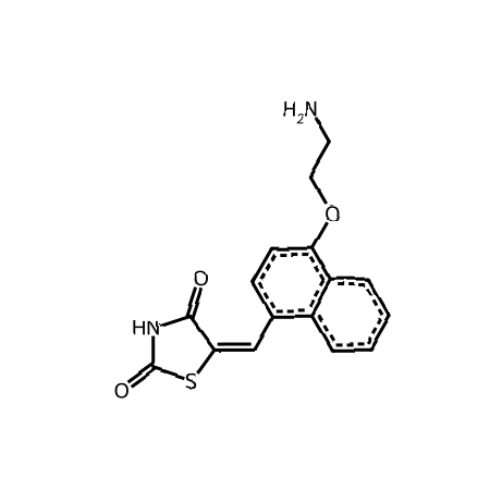 NCCOc1ccc(C=C2SC(=O)NC2=O)c2ccccc12